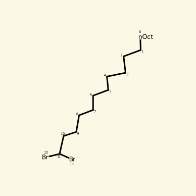 CCCCCCCCCCCCCCCCCCC(Br)Br